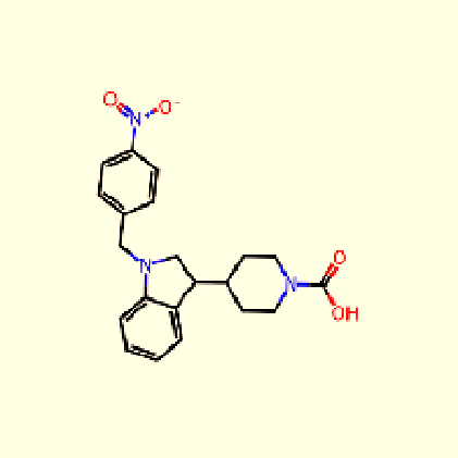 O=C(O)N1CCC(C2CN(Cc3ccc([N+](=O)[O-])cc3)c3ccccc32)CC1